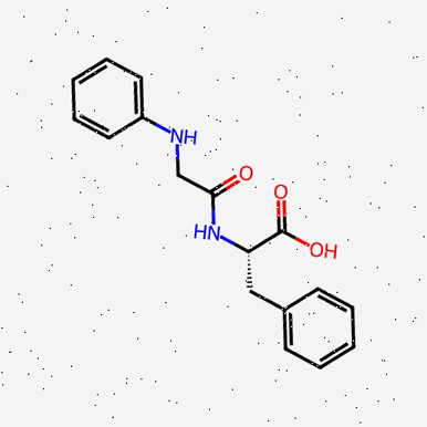 O=C(CNc1ccccc1)N[C@@H](Cc1ccccc1)C(=O)O